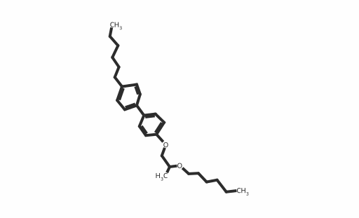 CCCCCCOC(C)COc1ccc(-c2ccc(CCCCCC)cc2)cc1